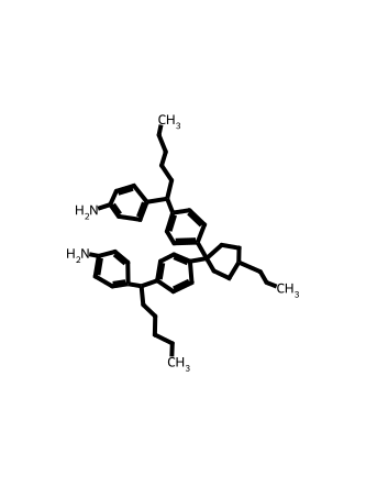 CCCCCC(c1ccc(N)cc1)c1ccc(C2(c3ccc(C(CCCCC)c4ccc(N)cc4)cc3)CCC(CCC)CC2)cc1